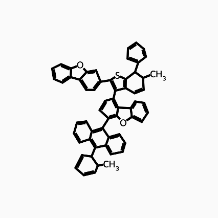 CC1C=CC=CC1c1c2ccccc2c(-c2ccc(-c3c(-c4ccc5c(c4)oc4ccccc45)sc4c3C=CC(C)C4c3ccccc3)c3c2oc2ccccc23)c2ccccc12